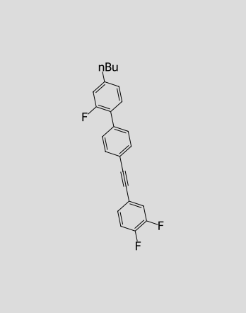 CCCCc1ccc(-c2ccc(C#Cc3ccc(F)c(F)c3)cc2)c(F)c1